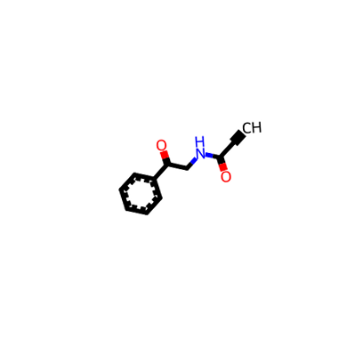 C#CC(=O)NCC(=O)c1ccccc1